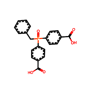 O=C(O)c1ccc(P(=O)(Cc2ccccc2)c2ccc(C(=O)O)cc2)cc1